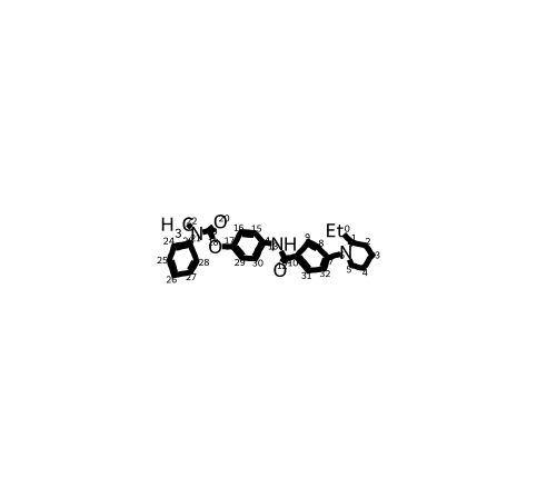 CCC1CCCCN1c1ccc(C(=O)Nc2ccc(OC(=O)N(C)c3ccccc3)cc2)cc1